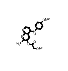 COc1ccc(Nc2ccnc3nc(C)c(OC(=O)COC(C)=O)cc23)cc1